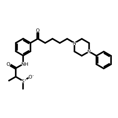 CC(C(=O)Nc1cccc(C(=O)CCCCN2CCN(c3ccccc3)CC2)c1)[S+](C)[O-]